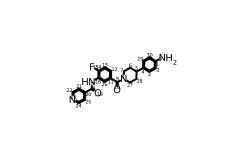 Nc1ccc(C2CCN(C(=O)c3ccc(F)c(NC(=O)c4ccncc4)c3)CC2)cc1